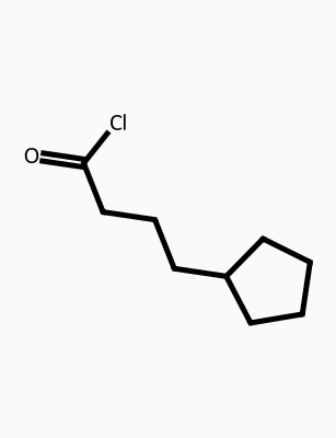 O=C(Cl)CCCC1CCCC1